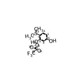 C[S+](C)c1ccc(O)cc1O.O=S(=O)([O-])C(F)(F)F